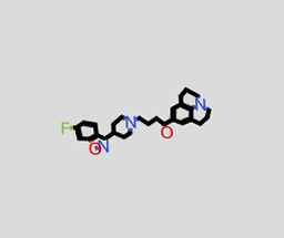 O=C(CCCN1CCC(c2noc3cc(F)ccc23)CC1)c1cc2c3c(c1)CCCN3CCC2